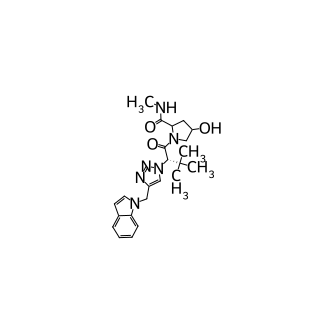 CNC(=O)C1CC(O)CN1C(=O)[C@@H](n1cc(Cn2ccc3ccccc32)nn1)C(C)(C)C